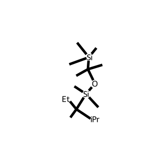 CCC(C)(C(C)C)[Si](C)(C)OC(C)(C)[Si](C)(C)C